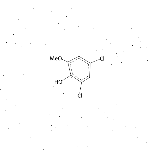 COc1cc(Cl)cc(Cl)c1O